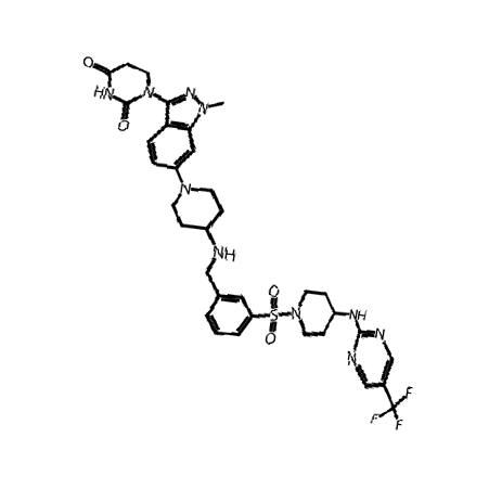 Cn1nc(N2CCC(=O)NC2=O)c2ccc(N3CCC(NCc4cccc(S(=O)(=O)N5CCC(Nc6ncc(C(F)(F)F)cn6)CC5)c4)CC3)cc21